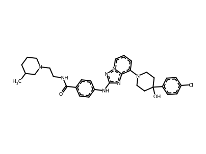 CC1CCCN(CCNC(=O)c2ccc(Nc3nc4c(N5CCC(O)(c6ccc(Cl)cc6)CC5)cccn4n3)cc2)C1